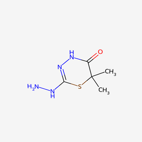 CC1(C)SC(NN)=NNC1=O